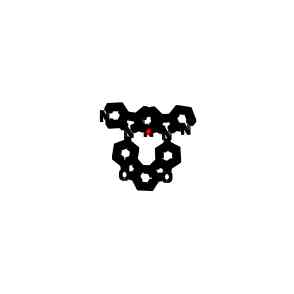 c1cnc2c(c1)c1ccncc1n2-c1ccc2oc3ccc4oc5ccc(-n6c7cnccc7c7cccnc76)cc5c4c3c2c1